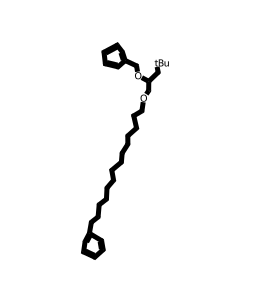 CC(C)(C)CC(COCCCCCCCCCCCCCCc1ccccc1)OCc1ccccc1